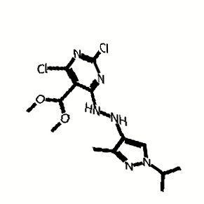 COC(OC)c1c(Cl)nc(Cl)nc1NNc1cn(C(C)C)nc1C